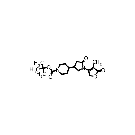 CC1=C(N2CC(C3CCN(C(=O)OC(C)(C)C)CC3)CC2=O)COC1=O